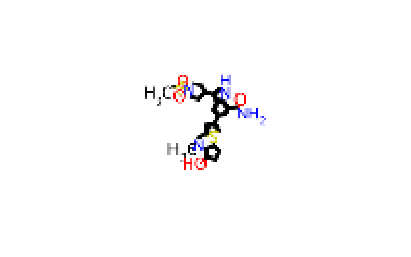 CCS(=O)(=O)N1CCC(c2c[nH]c3c(C(N)=O)cc(-c4csc(CN(C)[C@@H]5CCC[C@H]5O)c4)cc23)CC1